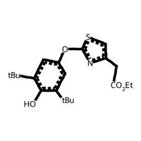 CCOC(=O)Cc1csc(Oc2cc(C(C)(C)C)c(O)c(C(C)(C)C)c2)n1